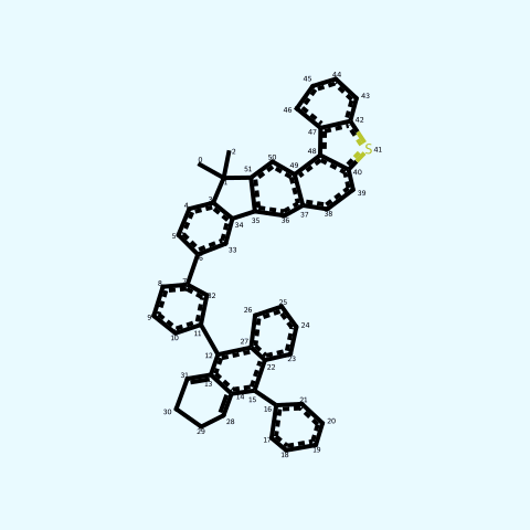 CC1(C)c2ccc(-c3cccc(-c4c5c(c(-c6ccccc6)c6ccccc46)=CCCC=5)c3)cc2-c2cc3ccc4sc5ccccc5c4c3cc21